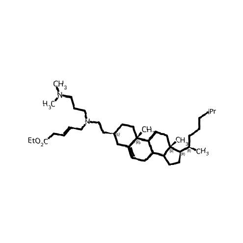 CCOC(=O)CC=CCN(CCCN(C)C)CC[C@H]1CC[C@@]2(C)C(=CCC3C2CC[C@@]2(C)C3CC[C@@H]2[C@H](C)CCCC(C)C)C1